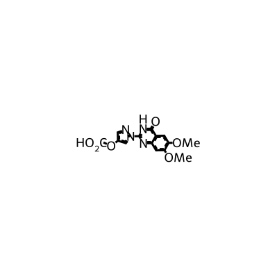 COc1cc2nc(-n3cc(OC(=O)O)cn3)[nH]c(=O)c2cc1OC